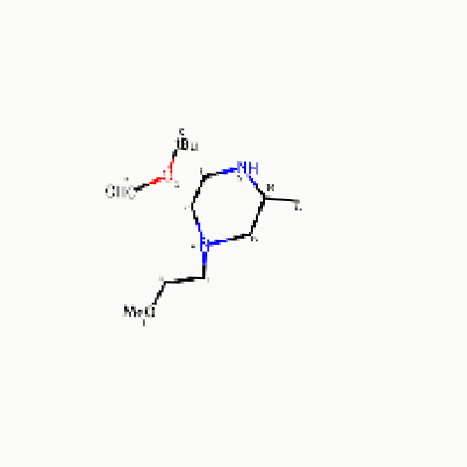 CC(C)(C)OC=O.COCCN1CCNC(C)C1